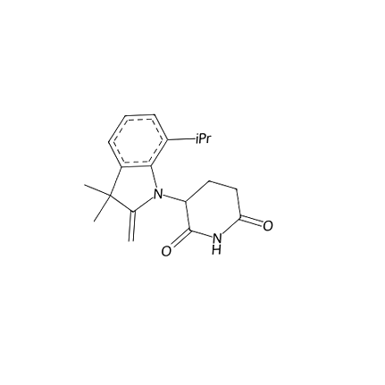 C=C1N(C2CCC(=O)NC2=O)c2c(C(C)C)cccc2C1(C)C